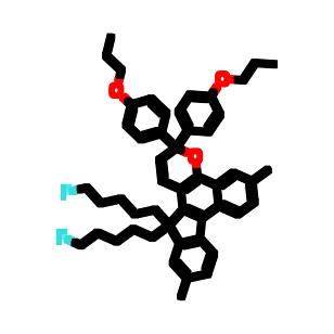 CCCOc1ccc(C2(c3ccc(OCCC)cc3)C=Cc3c4c(c5ccc(C)cc5c3O2)-c2ccc(C)cc2C4(CCCCCF)CCCCCF)cc1